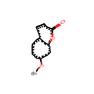 CC(C)(C)Oc1ccc2ccc(=O)oc2c1